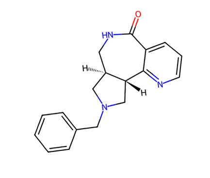 O=C1NC[C@@H]2CN(Cc3ccccc3)C[C@H]2c2ncccc21